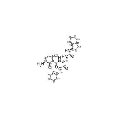 Nc1ccc(Cl)c(C(=O)NC(CNC(=O)N[C@@H]2CCc3ccccc32)C(=O)OCc2ccccc2)c1Cl